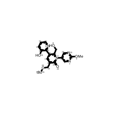 COc1ncc(-n2c(CO)c(-c3ncccc3O)cc(COC(C)(C)C)c2=O)cn1